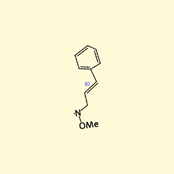 CO[N]C/C=C/c1ccccc1